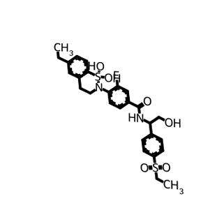 CCc1ccc2c(c1)CCN(c1ccc(C(=O)NC(CO)c3ccc(S(=O)(=O)CC)cc3)cc1F)S2(O)O